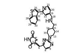 O=C1NC(=O)C(=Cc2ccnc(N3CCC(CNCc4ccnc(-c5csc6ccccc56)c4)CC3)n2)S1